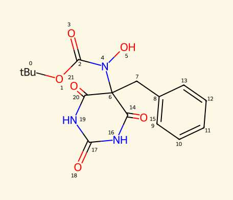 CC(C)(C)OC(=O)N(O)C1(Cc2ccccc2)C(=O)NC(=O)NC1=O